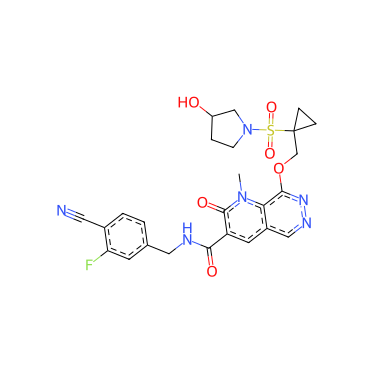 Cn1c(=O)c(C(=O)NCc2ccc(C#N)c(F)c2)cc2cnnc(OCC3(S(=O)(=O)N4CCC(O)C4)CC3)c21